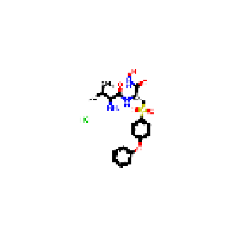 CC(C)C(N)C(=O)N[C@@H](CS(=O)(=O)c1ccc(Oc2ccccc2)cc1)C(=O)NO.Cl